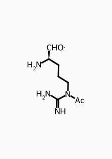 CC(=O)N(CCC[C@@H](N)[C]=O)C(=N)N